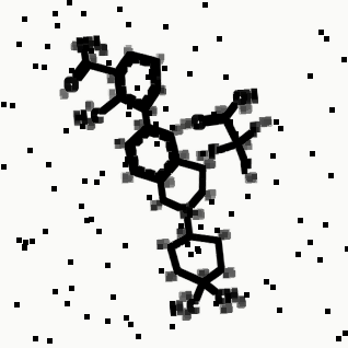 Cc1c(C(N)=O)cccc1-c1ccc2c(c1)CCN(C1CCC(C)(C)CC1)C2.O=C(O)C(F)(F)F